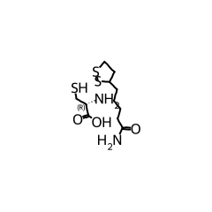 NC(=O)CCCCC1CCSS1.N[C@@H](CS)C(=O)O